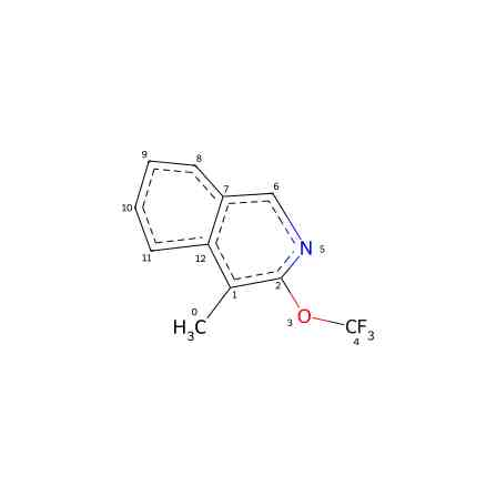 Cc1c(OC(F)(F)F)ncc2ccccc12